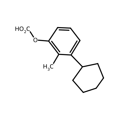 Cc1c(OC(=O)O)cccc1C1CCCCC1